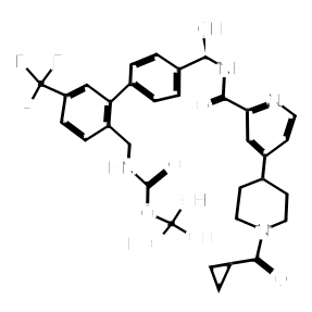 C[C@@H](NC(=O)c1cc(C2CCN(C(=O)C3CC3)CC2)ccn1)c1ccc(-c2cc(C(F)(F)F)ccc2CNC(=O)OC(C)(C)C)cc1